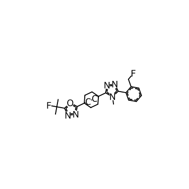 Cn1c(-c2ccccc2CF)nnc1C12CCC(c3nnc(C(C)(C)F)o3)(CC1)CC2